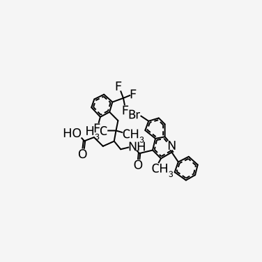 Cc1c(-c2ccccc2)nc2ccc(Br)cc2c1C(=O)NCC(CCC(=O)O)C(C)(C)Cc1c(F)cccc1C(F)(F)F